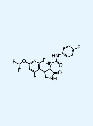 O=C(Nc1ccc(F)cc1)NC1C(=O)NCC1c1c(F)cc(OC(F)F)cc1F